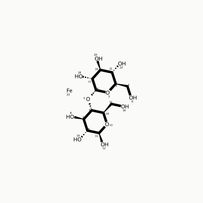 OC[C@H]1O[C@H](O[C@H]2[C@H](O)[C@@H](O)[C@H](O)O[C@@H]2CO)[C@H](O)[C@@H](O)[C@@H]1O.[Fe]